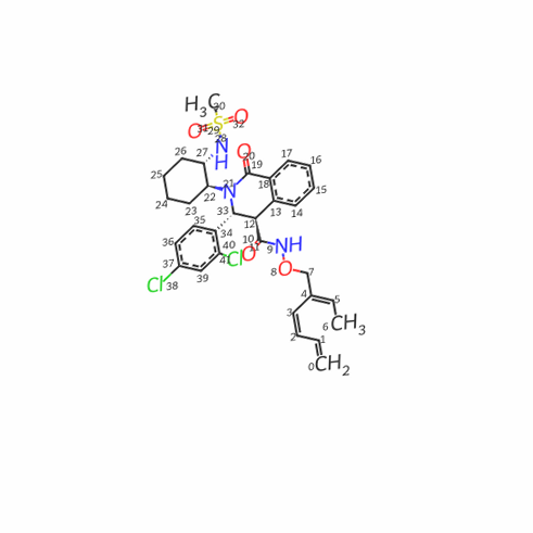 C=C/C=C\C(=C/C)CONC(=O)[C@@H]1c2ccccc2C(=O)N([C@H]2CCCC[C@@H]2NS(C)(=O)=O)[C@H]1c1ccc(Cl)cc1Cl